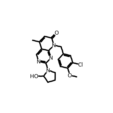 COc1ccc(Cn2c(=O)cc(C)c3cnc(N4CCCC4O)nc32)cc1Cl